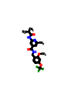 COc1cc(OC(F)(F)F)ccc1CNC(=O)c1cc(C)nc(NC(=O)C(C)C)c1